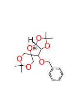 CC1(C)OCC2(CO1)O[C@@H]1OC(C)(C)OC1C2OCc1ccccc1